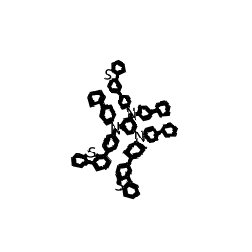 c1ccc(-c2ccc(N(c3ccc(-c4ccc5sc6ccccc6c5c4)cc3)c3cc(N(c4ccc(-c5ccccc5)cc4)c4ccc(-c5ccc6sc7ccccc7c6c5)cc4)cc(N(c4ccc(-c5ccccc5)cc4)c4ccc(-c5cccc6c5sc5ccccc56)cc4)c3)cc2)cc1